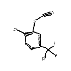 N#CSc1cc(C(F)(F)F)ccc1Cl